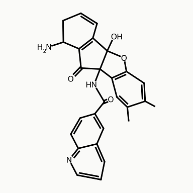 Cc1cc2c(cc1C)C1(NC(=O)c3ccc4ncccc4c3)C(=O)C3=C(C=CCC3N)C1(O)O2